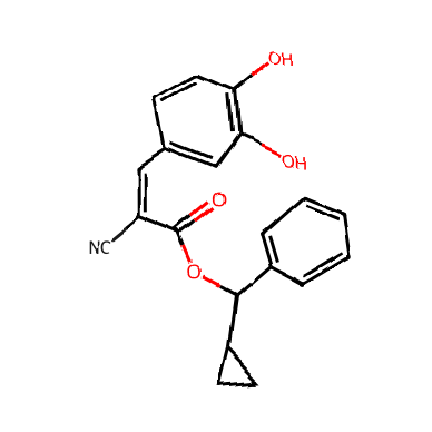 N#CC(=Cc1ccc(O)c(O)c1)C(=O)OC(c1ccccc1)C1CC1